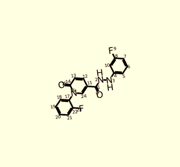 O=C(NNc1cccc(F)c1)c1ccc(=O)n(-c2ccccc2F)c1